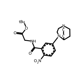 CC(C)(C)OC(=O)CNC(=O)c1cc(N2CCN3CCC2CC3)ccc1[N+](=O)[O-]